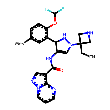 CSc1ccc(OC(F)F)c(C2NN(C3(CC#N)CNC3)C=C2NC(=O)c2cnn3cccnc23)c1